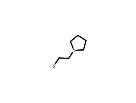 SCCN1CCCC1